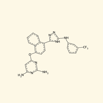 Nc1cc(Oc2ccc(-c3nnc(Nc4cccc(C(F)(F)F)c4)[nH]3)c3ccccc23)nc(N)n1